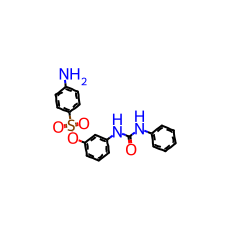 Nc1ccc(S(=O)(=O)Oc2cccc(NC(=O)Nc3ccccc3)c2)cc1